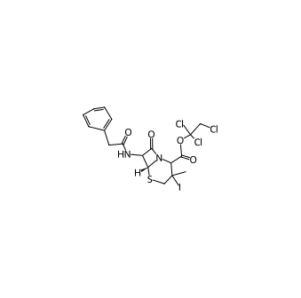 CC1(I)CS[C@@H]2C(NC(=O)Cc3ccccc3)C(=O)N2C1C(=O)OC(Cl)(Cl)CCl